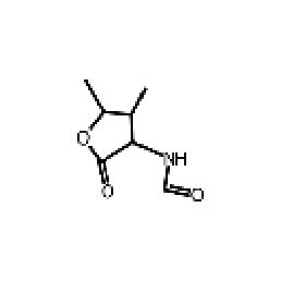 CC1OC(=O)C(NC=O)C1C